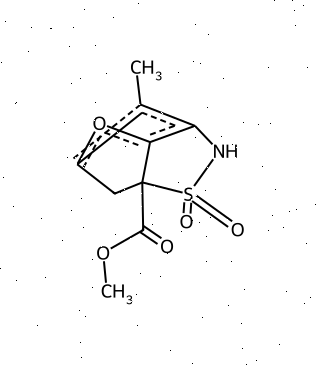 COC(=O)C12Cc3oc1c(c3C)NS2(=O)=O